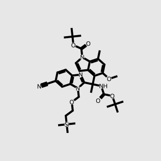 COc1cc(C)c2c(ccn2C(=O)OC(C)(C)C)c1C(C)(NC(=O)OC(C)(C)C)c1nc2ccc(C#N)cc2n1COCC[Si](C)(C)C